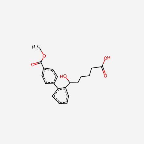 COC(=O)c1ccc(-c2ccccc2C(O)CCCCC(=O)O)cc1